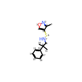 Cc1nocc1SNCC(C)(C)c1ccccc1